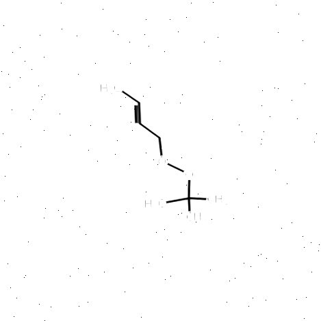 CC=CCOOC(C)(C)C